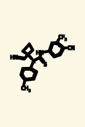 Cc1ccc(N(C(=S)Nc2ccc(C#N)c(C(F)(F)F)c2)C2(C=N)CCC2)cc1